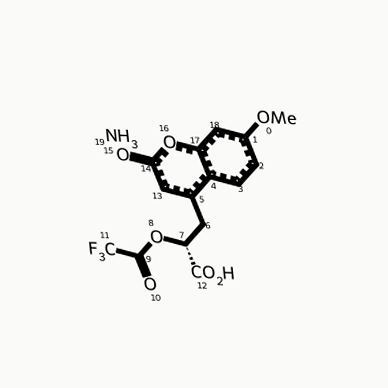 COc1ccc2c(C[C@@H](OC(=O)C(F)(F)F)C(=O)O)cc(=O)oc2c1.N